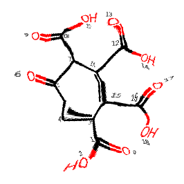 O=C(O)C1=CC(=O)C(C(=O)O)C(C(=O)O)=C1C(=O)O